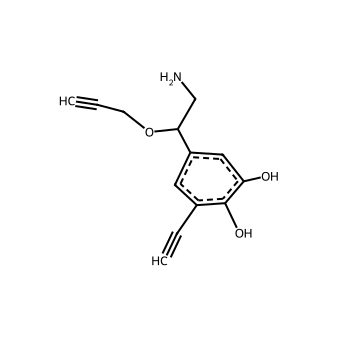 C#CCOC(CN)c1cc(O)c(O)c(C#C)c1